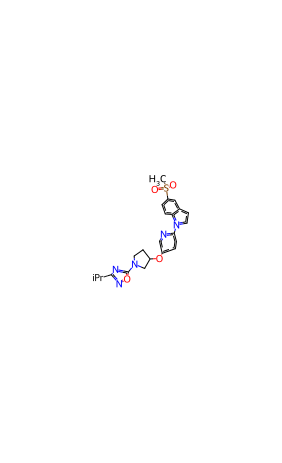 CC(C)c1noc(N2CCC(Oc3ccc(-n4ccc5cc(S(C)(=O)=O)ccc54)nc3)C2)n1